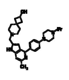 Cc1cc2[nH]c(CN3CCC4(CC3)CC(O)C4)cc2c(-c2ccc(N3CCN(C(C)C)CC3)cc2)n1